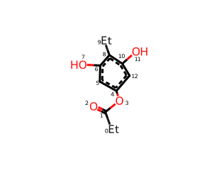 CCC(=O)Oc1cc(O)c(CC)c(O)c1